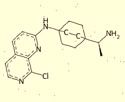 C[C@H](N)C12CCC(Nc3ccc4ccnc(Cl)c4n3)(CC1)CC2